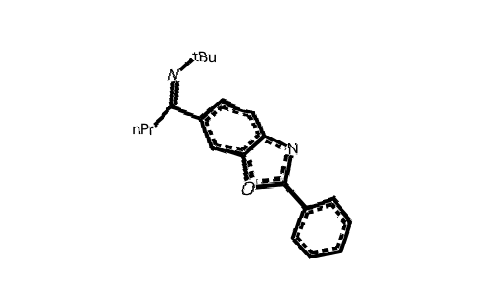 CCC/C(=N/C(C)(C)C)c1ccc2nc(-c3ccccc3)oc2c1